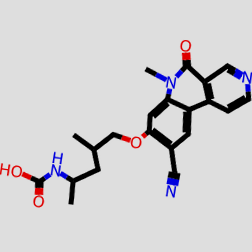 CC(COc1cc2c(cc1C#N)c1ccncc1c(=O)n2C)CC(C)NC(=O)O